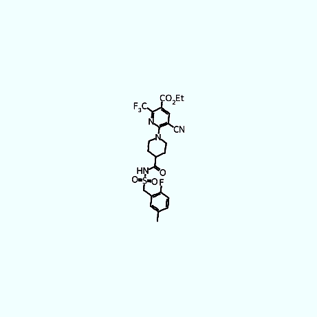 CCOC(=O)c1cc(C#N)c(N2CCC(C(=O)NS(=O)(=O)Cc3cc(C)ccc3F)CC2)nc1C(F)(F)F